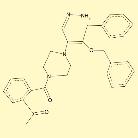 CC(=O)c1ccccc1C(=O)N1CCN(C(/C=N\N)=C(/Cc2ccccc2)OCc2ccccc2)CC1